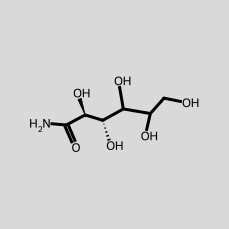 NC(=O)[C@@H](O)[C@@H](O)C(O)C(O)CO